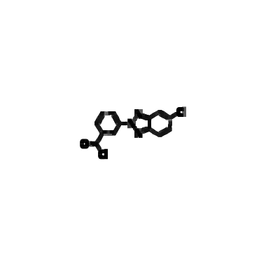 O=C(Cl)c1cccc(-n2nc3ccc(Cl)cc3n2)c1